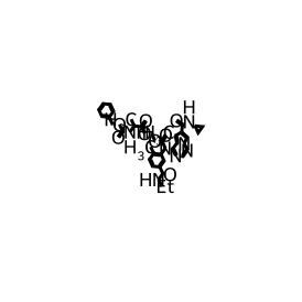 CCNC(=O)c1ccc(C)c(N(C(=O)OCOC(=O)C(C)NC(=O)OCc2ccccc2)c2ncnn3cc(C(=O)NC4CC4)c(C)c23)c1